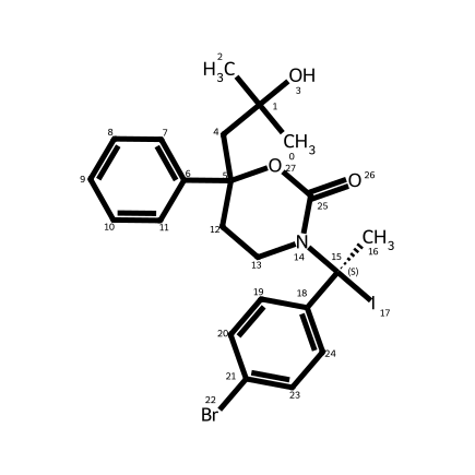 CC(C)(O)CC1(c2ccccc2)CCN([C@@](C)(I)c2ccc(Br)cc2)C(=O)O1